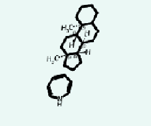 C1=CC=CNC=C1.C[C@@]12CCC[C@H]1[C@@H]1CCC3CCCC[C@]3(C)[C@H]1CC2